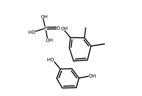 Cc1cccc(O)c1C.O=P(O)(O)O.Oc1cccc(O)c1